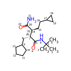 CC(C)(C)NC(=O)[C@H](CC1CCCC1)[C@H](CCC1CC1)C(N)=O